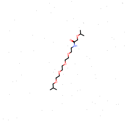 CC(C)COCCOCCOCCOCCNC(=O)COC(C)C